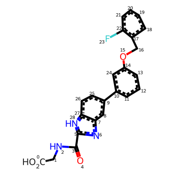 O=C(O)CNC(=O)c1nc2cc(-c3cccc(OCc4ccccc4F)c3)ccc2[nH]1